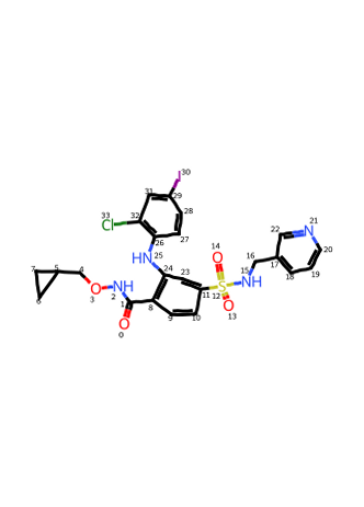 O=C(NOCC1CC1)c1ccc(S(=O)(=O)NCc2cccnc2)cc1Nc1ccc(I)cc1Cl